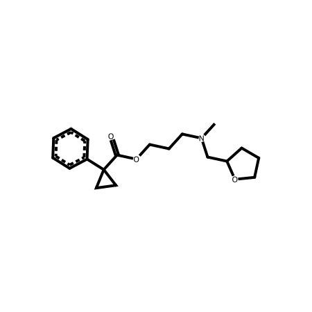 CN(CCCOC(=O)C1(c2ccccc2)CC1)CC1CCCO1